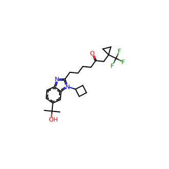 CC(C)(O)c1ccc2nc(CCCCC(=O)CC3(C(F)(F)F)CC3)n(C3CCC3)c2c1